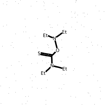 CCN(CC)OC(=S)N(CC)CC